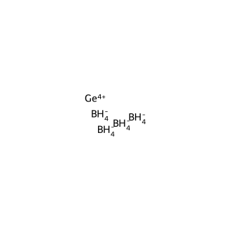 [BH4-].[BH4-].[BH4-].[BH4-].[Ge+4]